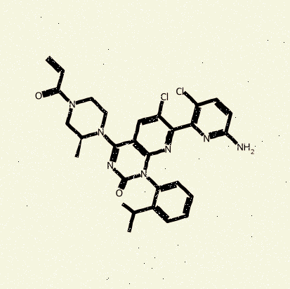 C=CC(=O)N1CCN(c2nc(=O)n(-c3ccccc3C(C)C)c3nc(-c4nc(N)ccc4Cl)c(Cl)cc23)[C@@H](C)C1